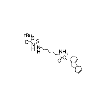 CC(C)(C)OC(=O)NC(=S)NCCCCCCC(N)C(=O)OCc1cccc2c1Cc1ccccc1-2